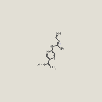 C=C(NC)c1cnc(N/C(=N\C=N)C(C)C)cn1